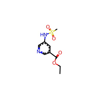 CCOC(=O)c1cncc(NS(C)(=O)=O)c1